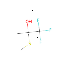 CSC(C)(O)C(F)(F)F